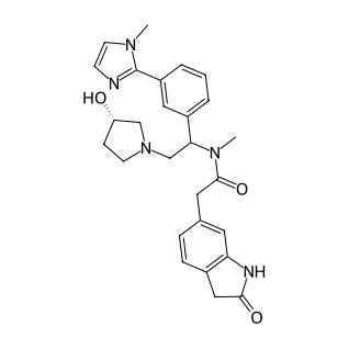 CN(C(=O)Cc1ccc2c(c1)NC(=O)C2)C(CN1CC[C@H](O)C1)c1cccc(-c2nccn2C)c1